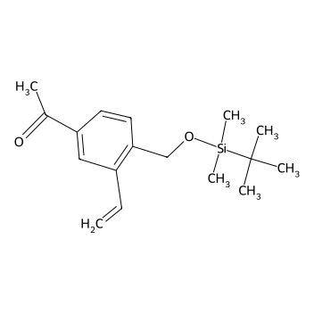 C=Cc1cc(C(C)=O)ccc1CO[Si](C)(C)C(C)(C)C